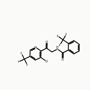 O=C(NCC(=O)c1ncc(C(F)(F)F)cc1Cl)c1ccccc1C(F)(F)F